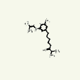 Cc1cc(CCCCCC(=O)C(C)C)cc(OCC(C)C)c1